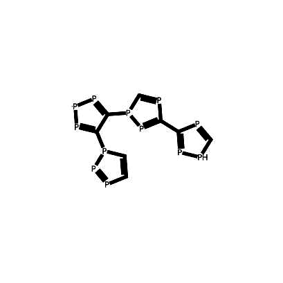 c1cp(C2=P[P]P=C2p2cpc(-c3pc[pH]p3)p2)pp1